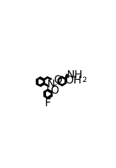 NC[C@]1(O)CC[C@H](C(=O)N2CCc3ccccc3[C@@H]2c2ccc(F)cc2)OC1